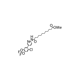 COC(=O)CCCCCCCCCCC(=O)Nc1ccc(-c2cc3c(cc2Cl)OC(F)(F)O3)cn1